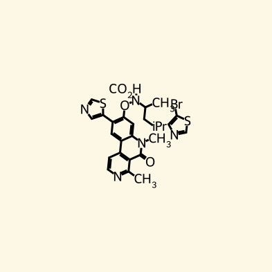 Brc1cncs1.Cc1nccc2c1c(=O)n(C)c1cc(ON(C(=O)O)C(C)CC(C)C)c(-c3cncs3)cc21